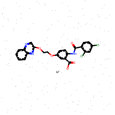 O=C(Nc1ccc(OCCOc2cnc3ccccc3n2)cc1C(=O)[O-])c1ccc(Cl)cc1Cl.[Li+]